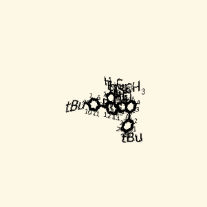 CCC1=Cc2c(-c3ccc(C(C)(C)C)cc3)cccc2[CH]1[Hf]([Cl])([Cl])([CH]1C(CC)=Cc2c(-c3ccc(C(C)(C)C)cc3)cccc21)[SiH](C)C